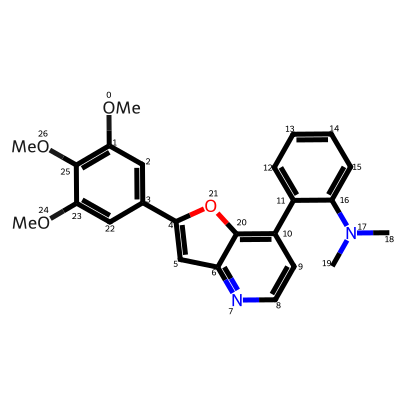 COc1cc(-c2cc3nccc(-c4ccccc4N(C)C)c3o2)cc(OC)c1OC